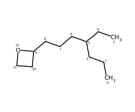 CCCC(CC)CCCC1CCO1